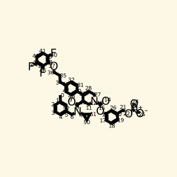 Cc1cccc(CN(C(=O)C2CN(C(=O)Oc3cccc(CO[N+](=O)[O-])c3)CC=C2c2ccc(CCCOc3c(F)ccc(F)c3F)cc2)C2CC2)c1